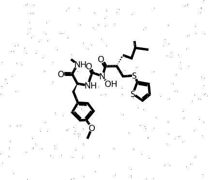 CNC(=O)[C@H](Cc1ccc(OC)cc1)NC(=O)N(O)C(=O)[C@H](CCC(C)C)CSc1cccs1